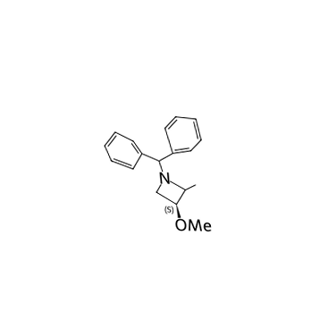 CO[C@H]1CN(C(c2ccccc2)c2ccccc2)C1C